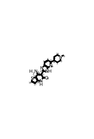 CN1CCC(c2ccc3nc(-c4c(N)c5sccc5[nH]c4=O)[nH]c3n2)CC1